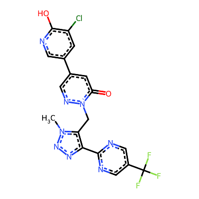 Cn1nnc(-c2ncc(C(F)(F)F)cn2)c1Cn1ncc(-c2cnc(O)c(Cl)c2)cc1=O